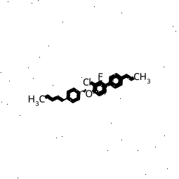 CCCCC[C@H]1CC[C@H](COc2ccc(-c3ccc(CCC)cc3)c(F)c2Cl)CC1